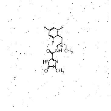 CC[C@H](CNC(=O)c1nn(C)c(=O)[nH]1)Cc1c(F)cc(F)cc1F